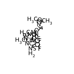 C[C@@H]1CN(CC2(COc3nc(N(C)CC4(N(C)C)CCC4)c4cnc(C5=C(F)C=C(F)C6SC(N)=C(C#N)C56)c(F)c4n3)CC2)C[C@@H](C)O1